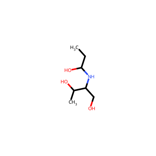 CCC(O)NC(CO)C(C)O